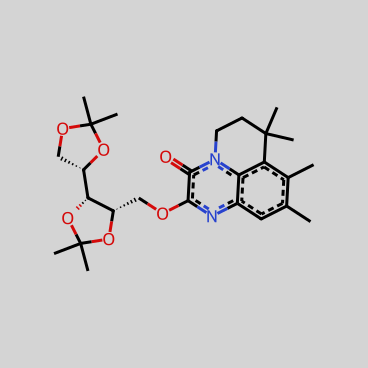 Cc1cc2nc(OC[C@@H]3OC(C)(C)O[C@@H]3[C@@H]3COC(C)(C)O3)c(=O)n3c2c(c1C)C(C)(C)CC3